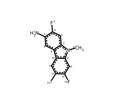 Cn1c2cc(F)c(N)cc2c2cc(I)c(F)cc21